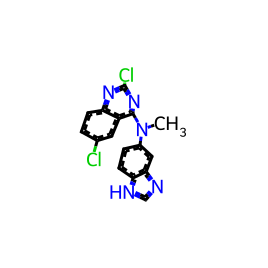 CN(c1ccc2[nH]cnc2c1)c1nc(Cl)nc2ccc(Cl)cc12